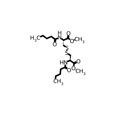 CCCCC(=O)N[C@@H](CSSC[C@H](NC(=O)CCCC)C(=O)OC)C(=O)OC